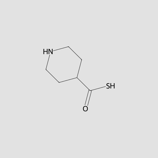 O=C(S)C1CCNCC1